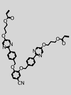 C=CC(=O)OCCCOc1cnc(-c2ccc(COc3ccc(C#N)cc3OCc3ccc(-c4ncc(OCCCOC(=O)C=C)cn4)cc3)cc2)nc1